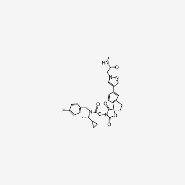 CNC(=O)Cn1cc(-c2ccc3c(c2)CC[C@@]32OC(=O)N(CC(=O)N(Cc3ccc(F)cc3)[C@@H](C)C3CC3)C2=O)cn1